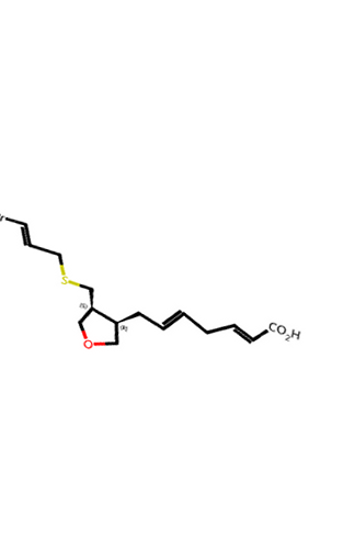 CCCC=CCSC[C@@H]1COC[C@@H]1CC=CCC=CC(=O)O